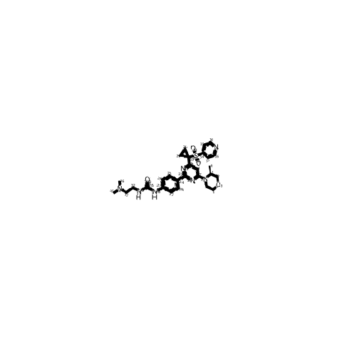 C[C@H]1COCCN1c1cc(C2(S(=O)(=O)c3ccncc3)CC2)nc(-c2ccc(NC(=O)NCCN(C)C)cc2)n1